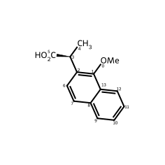 COc1c([C@H](C)C(=O)O)ccc2ccccc12